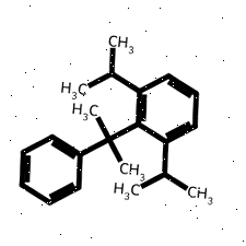 CC(C)c1cccc(C(C)C)c1C(C)(C)c1ccccc1